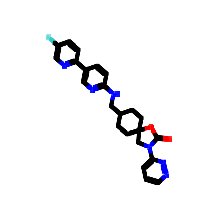 O=C1OC2(CCC(CNc3ccc(-c4ccc(F)cn4)cn3)CC2)CN1c1cccnn1